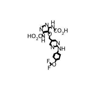 O=C(O)Nc1n[c]nc(NC(=O)O)c1OCc1cnc(Nc2ccc(OC(F)F)cc2)nc1